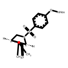 CCCCCCOc1ccc(S(=O)(=O)N2C[C@H]3CC(C)(C)[C@@H]2C(=O)O3)cc1